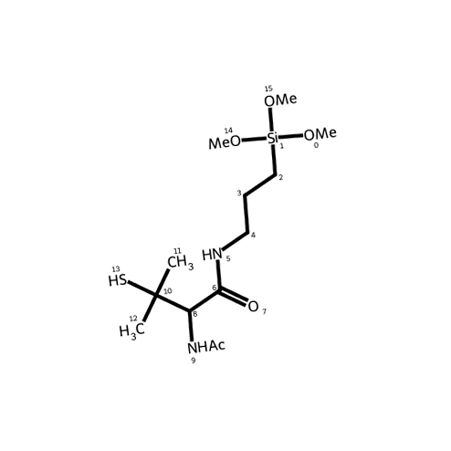 CO[Si](CCCNC(=O)C(NC(C)=O)C(C)(C)S)(OC)OC